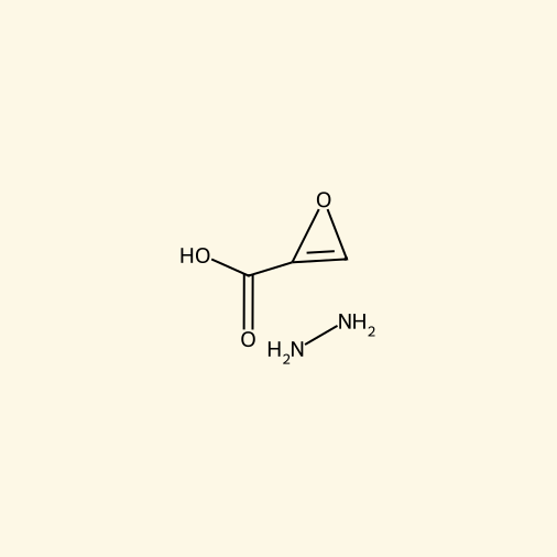 NN.O=C(O)C1=CO1